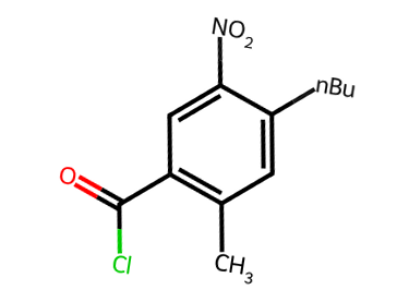 CCCCc1cc(C)c(C(=O)Cl)cc1[N+](=O)[O-]